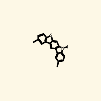 Cc1ccc2sc3cc4c(cc3c2c1)c1cc(C)ccc1n4I